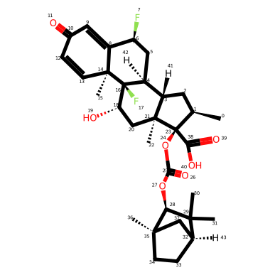 C[C@@H]1C[C@H]2[C@@H]3C[C@H](F)C4=CC(=O)C=C[C@]4(C)[C@@]3(F)[C@@H](O)C[C@]2(C)[C@@]1(OC(=O)O[C@H]1C(C)(C)[C@H]2CC[C@]1(C)C2)C(=O)O